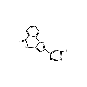 O=c1[nH]c2cc(-c3ccnc(F)c3)nn2c2ccccc12